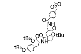 CC(C)(C)OC(=O)C(CNC(=O)c1ccc(CS(C)(=O)=O)cc1)CC1(C(=O)N[C@@H](Cc2ccc(OC(C)(C)C)cc2)C(=O)OC(C)(C)C)CCCC1